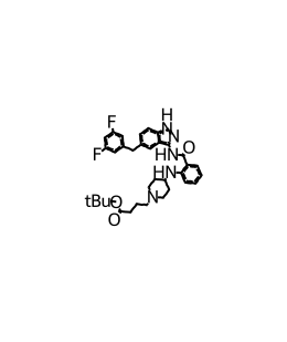 CC(C)(C)OC(=O)CCCN1CCC(Nc2ccccc2C(=O)Nc2n[nH]c3ccc(Cc4cc(F)cc(F)c4)cc23)CC1